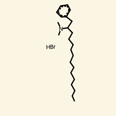 Br.CCCCCCCCCCCCCC(Cc1ccccc1)N(C)C